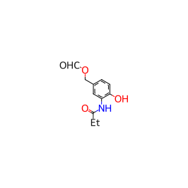 CCC(=O)Nc1cc(COC=O)ccc1O